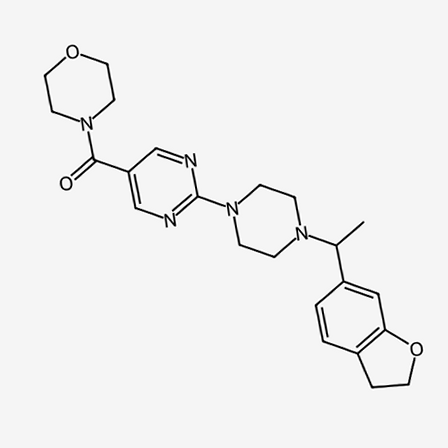 CC(c1ccc2c(c1)OCC2)N1CCN(c2ncc(C(=O)N3CCOCC3)cn2)CC1